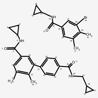 Cc1cc(C(=O)NC2CC2)cc(-c2ccc(C(=O)NCC3CC3)cc2)c1C.Cc1cc(C(=O)NC2CC2)cc(Br)c1C